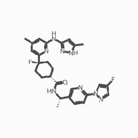 Cc1cc(Nc2cc(C)[nH]n2)nc([C@]2(F)CC[C@H](C(=O)N[C@@H](C)c3ccc(-n4cc(F)cn4)nc3)CC2)c1